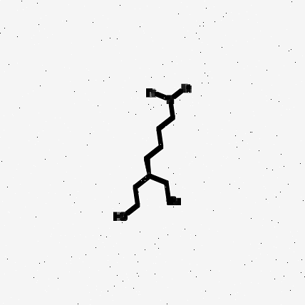 CCN(CC)CCCC[C@H](CCO)CC(C)(C)C